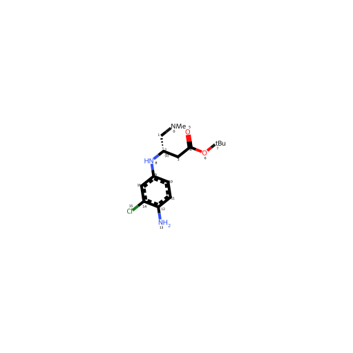 CNC[C@H](CC(=O)OC(C)(C)C)Nc1ccc(N)c(Cl)c1